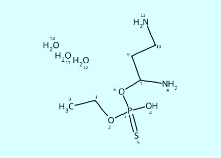 CCOP(O)(=S)OC(N)CCN.O.O.O